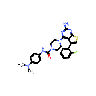 CN(C)c1ccc(NC(=O)N2CCN(c3nc(N)nc4scc(-c5ccccc5F)c34)CC2)cc1